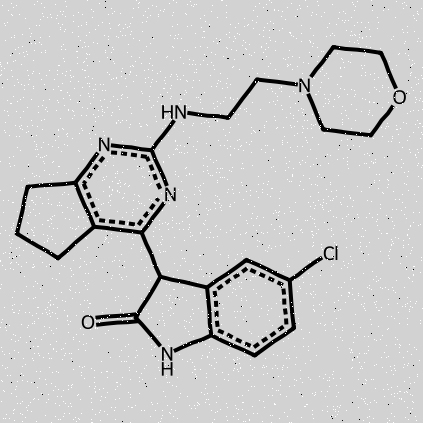 O=C1Nc2ccc(Cl)cc2C1c1nc(NCCN2CCOCC2)nc2c1CCC2